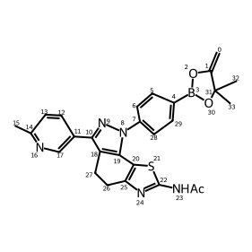 C=C1OB(c2ccc(-n3nc(-c4ccc(C)nc4)c4c3-c3sc(NC(C)=O)nc3CC4)cc2)OC1(C)C